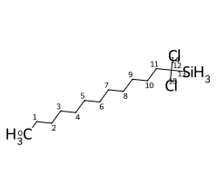 CCCCCCCCCCCCC([SiH3])(Cl)Cl